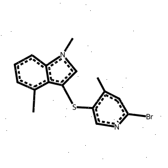 Cc1cc(Br)ncc1Sc1cn(C)c2cccc(C)c12